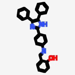 Oc1ccccc1C=Nc1ccc(-c2nc(-c3ccccc3)c(-c3ccccc3)[nH]2)cc1